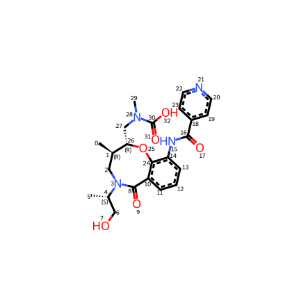 C[C@@H]1CN([C@@H](C)CO)C(=O)c2cccc(NC(=O)c3ccncc3)c2O[C@H]1CN(C)C(=O)O